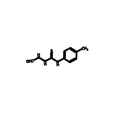 Cc1ccc(NC(=S)NNC=O)cc1